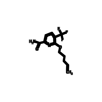 C=CCCCOc1nc(C(N)=O)ccc1C(F)(F)F